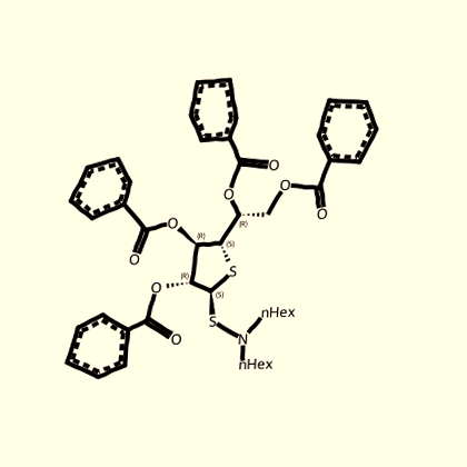 CCCCCCN(CCCCCC)S[C@@H]1S[C@@H]([C@@H](COC(=O)c2ccccc2)OC(=O)c2ccccc2)[C@H](OC(=O)c2ccccc2)[C@H]1OC(=O)c1ccccc1